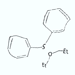 CCOCC.c1ccc(Sc2ccccc2)cc1